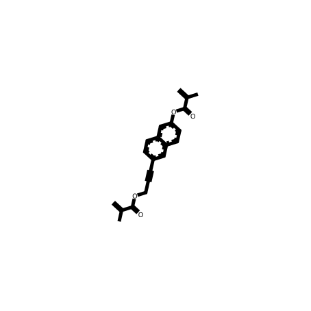 C=C(C)C(=O)OCC#Cc1ccc2cc(OC(=O)C(=C)C)ccc2c1